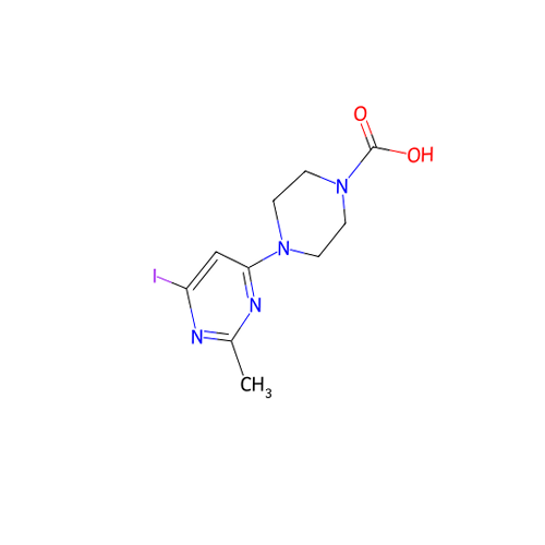 Cc1nc(I)cc(N2CCN(C(=O)O)CC2)n1